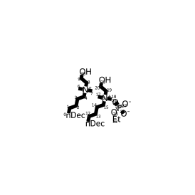 CCCCCCCCCCCCCC[N+](C)(C)CCO.CCCCCCCCCCCCCC[N+](C)(C)CCO.CCOP(=O)([O-])[O-]